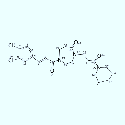 O=C(C=Cc1ccc(Cl)c(Cl)c1)N1CCC(=O)N(CCC(=O)N2CCCCC2)CC1